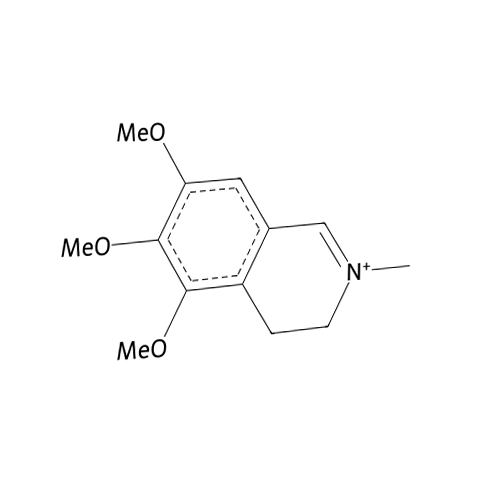 COc1cc2c(c(OC)c1OC)CC[N+](C)=C2